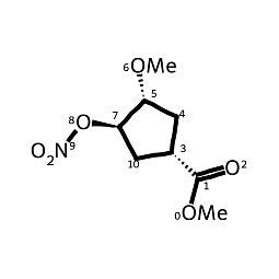 COC(=O)[C@H]1C[C@@H](OC)[C@H](O[N+](=O)[O-])C1